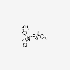 COc1ccc(C2C3CCc4ccccc4C3=NN2CCOC(=O)Nc2ccc(Cl)cc2)cc1